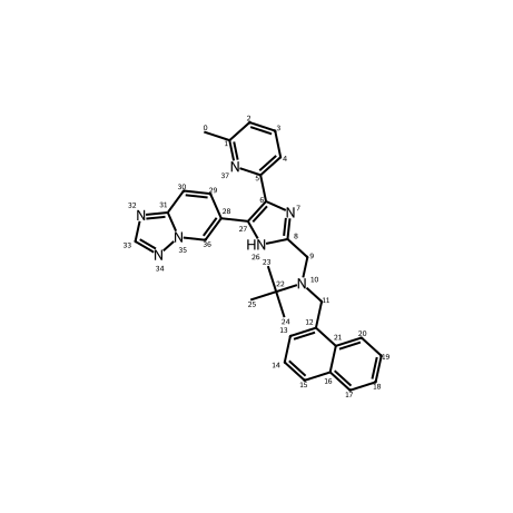 Cc1cccc(-c2nc(CN(Cc3cccc4ccccc34)C(C)(C)C)[nH]c2-c2ccc3ncnn3c2)n1